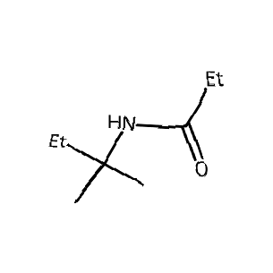 CCC(=O)NC(C)(C)CC